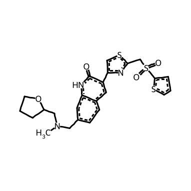 CN(Cc1ccc2cc(-c3csc(CS(=O)(=O)c4cccs4)n3)c(=O)[nH]c2c1)CC1CCCO1